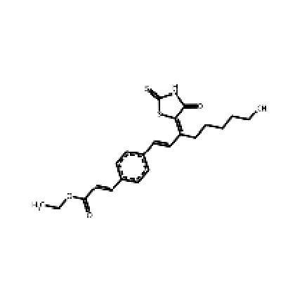 CCCCCCC(C=Cc1ccc(C=CC(=O)OCC)cc1)=C1SC(=S)NC1=O